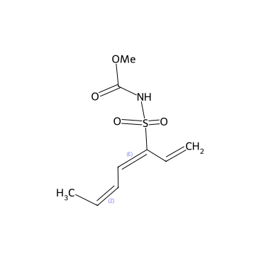 C=C/C(=C\C=C/C)S(=O)(=O)NC(=O)OC